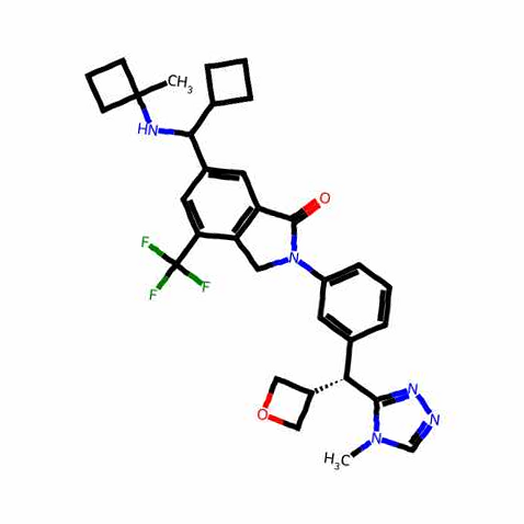 Cn1cnnc1[C@@H](c1cccc(N2Cc3c(cc(C(NC4(C)CCC4)C4CCC4)cc3C(F)(F)F)C2=O)c1)C1COC1